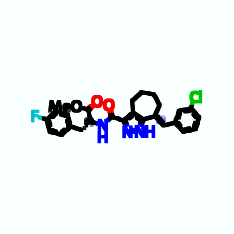 COC(=O)[C@@H](Cc1ccc(F)cc1)NC(=O)c1n[nH]c2c1CCCC/C2=C\c1cccc(Cl)c1